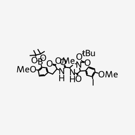 COC(=O)C(Cc1ccc(OC)c(B2OC(C)(C)C(C)(C)O2)c1)NC(=O)C(C)NC(=O)C(c1ccc(OC)c(I)c1)N(C)C(=O)OC(C)(C)C